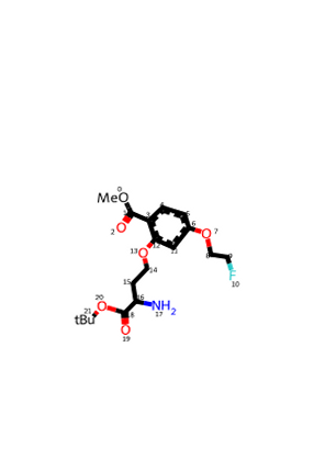 COC(=O)c1ccc(OCCF)cc1OCCC(N)C(=O)OC(C)(C)C